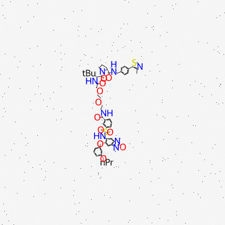 CCCOc1cccc(Oc2cc3c(cc2NS(=O)(=O)c2cccc(C(=O)NCCOCCOCC(=O)NC(C(=O)N4CCC[C@H]4C(=O)NCc4ccc(-c5scnc5C)cc4)C(C)(C)C)c2)n(C)c(=O)n3C)c1